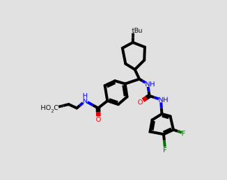 CC(C)(C)C1CCC(C(NC(=O)Nc2ccc(F)c(F)c2)c2ccc(C(=O)NCCC(=O)O)cc2)CC1